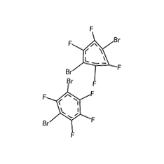 Fc1c(F)c(Br)c(F)c(Br)c1F.Fc1c(F)c(Br)c(F)c(F)c1Br